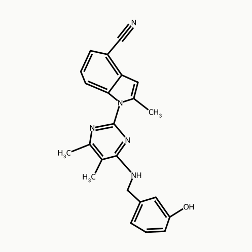 Cc1nc(-n2c(C)cc3c(C#N)cccc32)nc(NCc2cccc(O)c2)c1C